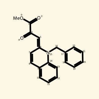 COC(=O)C(=O)/C=C1\C=Cc2ccccc2N1Cc1ccccc1